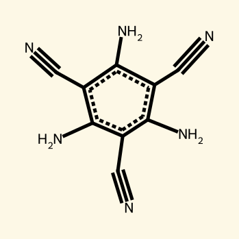 N#Cc1c(N)c(C#N)c(N)c(C#N)c1N